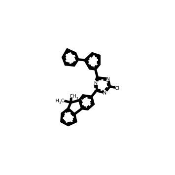 CC1(C)c2ccccc2-c2ccc(-c3nc(Cl)nc(-c4cccc(-c5ccccc5)c4)n3)cc21